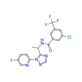 CC(NC(=O)c1cc(Cl)cc(C(F)(F)F)c1)c1ncnn1-c1ccc(I)cn1